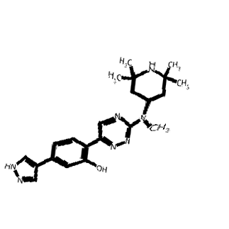 CN(c1ncc(-c2ccc(-c3cn[nH]c3)cc2O)nn1)C1CC(C)(C)NC(C)(C)C1